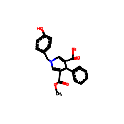 COC(=O)C1=CN(Cc2ccc(O)cc2)C=C(C(=O)O)C1c1ccccc1